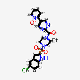 CCC1CN(S(=O)(=O)c2cc3cc(Cl)ccc3[nH]2)CCN1C(=O)c1ncc(-c2cccc[n+]2[O-])cn1